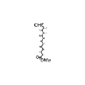 COC(=O)CCCCCCCCCCCC=O